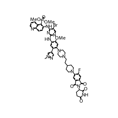 COc1cc(N2CCN(CCC3CCN(c4cc5c(cc4F)C(=O)N(C4CCC(=O)NC4=O)C5=O)CC3)CC2)c(-c2cnn(C)c2)cc1Nc1ncc(Br)c(Nc2ccc3ncccc3c2P(=O)(OC)OC)n1